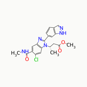 CNC(=O)c1cc2nc(-c3ccc4cn[nH]c4c3)n([C@@H](C)CC(=O)OC)c2cc1Cl